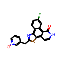 O=c1[nH]ccc2c3sc(Cc4ccc[n+]([O-])c4)nc3c3ccc(F)cc3c12